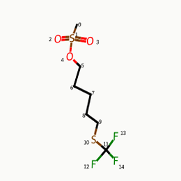 CS(=O)(=O)OCCCCCSC(F)(F)F